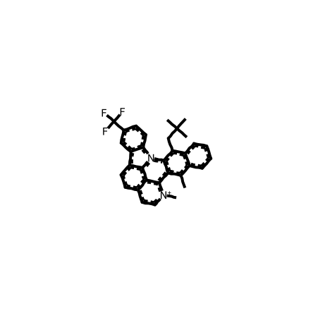 Cc1c2ccccc2c(CC(C)(C)C)c2c1c1c3c(ccc4c5cc(C(F)(F)F)ccc5n2c43)cc[n+]1C